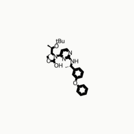 C[C@H](Nc1nccc(N2C(O)OC[C@@H]2[C@@H](C)OC(C)(C)C)n1)c1cccc(Oc2ccccc2)c1